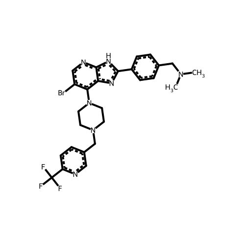 CN(C)Cc1ccc(-c2nc3c(N4CCN(Cc5ccc(C(F)(F)F)nc5)CC4)c(Br)cnc3[nH]2)cc1